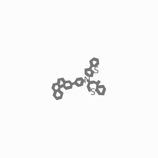 C=C1/C=C(N(c2ccc(C3C=Cc4c(ccc5ccc6ccccc6c45)C3)cc2)c2ccc3c(c2)sc2ccccc23)\C=C/Sc2ccccc21